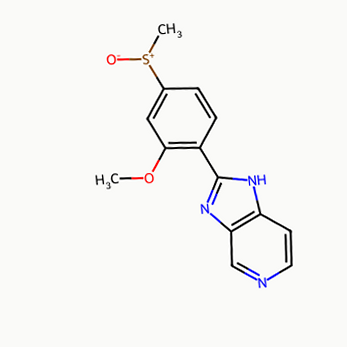 COc1cc([S+](C)[O-])ccc1-c1nc2cnccc2[nH]1